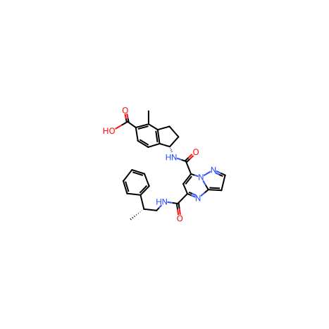 Cc1c(C(=O)O)ccc2c1CC[C@@H]2NC(=O)c1cc(C(=O)NC[C@H](C)c2ccccc2)nc2ccnn12